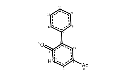 CC(=O)c1c[nH]c(=O)c(-c2ccccc2)c1